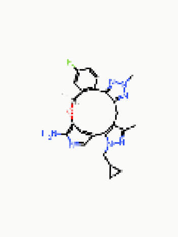 Cc1nn(CC2CC2)c2c1Cc1nn(C)nc1-c1ccc(F)cc1[C@@H](C)Oc1cc-2cnc1N